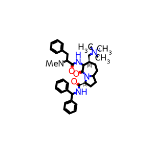 CNC(Cc1ccccc1)C(=O)NC1C(=O)N2C(CC[C@@H]1C[N+](C)(C)C)CC[C@H]2C(=O)NC(c1ccccc1)c1ccccc1